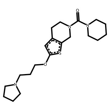 O=C(N1CCCCC1)N1CCc2cc(OCCCN3CCCC3)sc2C1